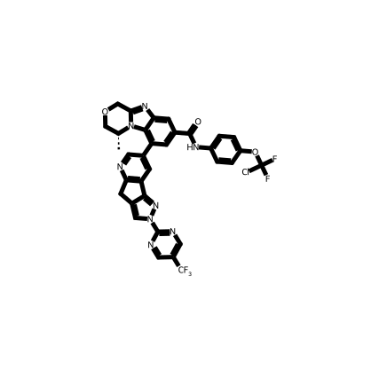 C[C@@H]1COCc2nc3cc(C(=O)Nc4ccc(OC(F)(F)Cl)cc4)cc(-c4cnc5c(c4)-c4nn(-c6ncc(C(F)(F)F)cn6)cc4C5)c3n21